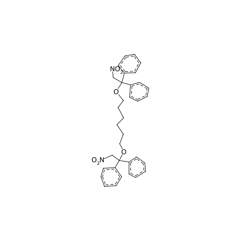 O=[N+]([O-])CC(OCCCCCCOC(C[N+](=O)[O-])(c1ccccc1)c1ccccc1)(c1ccccc1)c1ccccc1